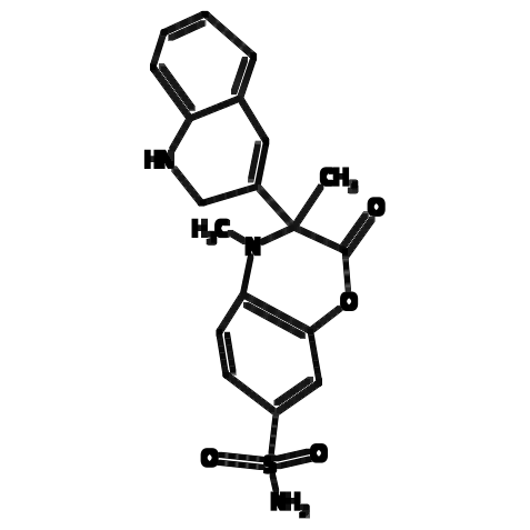 CN1c2ccc(S(N)(=O)=O)cc2OC(=O)C1(C)C1=Cc2ccccc2NC1